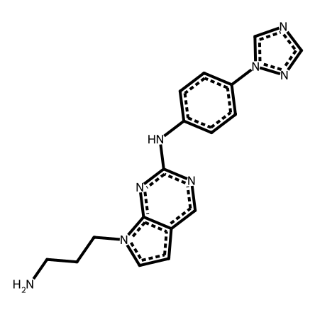 NCCCn1ccc2cnc(Nc3ccc(-n4cncn4)cc3)nc21